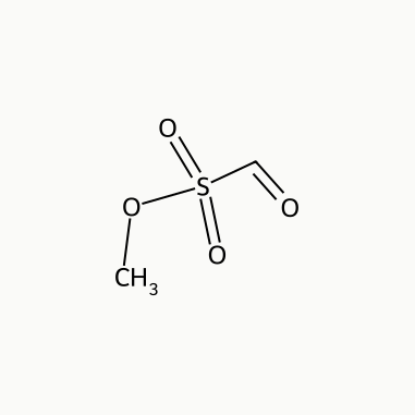 COS(=O)(=O)C=O